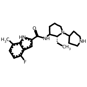 CC[C@@H]1C(NC(=O)c2cc3c(F)ccc(C)c3[nH]2)CCCN1C1CCNCC1